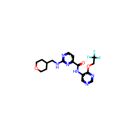 O=C(Nc1cncnc1OCC(F)(F)F)c1ccnc(NCC2CCOCC2)n1